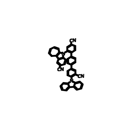 N#Cc1ccc(-c2ccc(-c3ccc(-n4c5ccccc5c5ccccc54)c(C#N)c3)cc2)c(-n2c3c(c4cc(C#N)ccc42)CC=CC=C3)c1